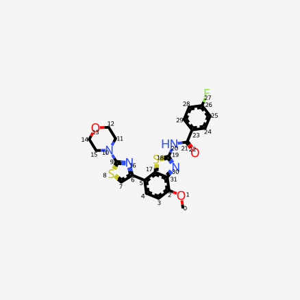 COc1ccc(-c2csc(N3CCOCC3)n2)c2sc(NC(=O)c3ccc(F)cc3)nc12